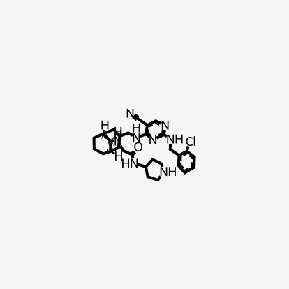 N#Cc1cnc(NCc2ccccc2Cl)nc1NCC1C[C@H]2CCC[C@@H](C1)[C@@H]2NCC(=O)NC1CCNCC1